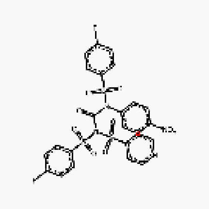 O=C(N(c1ccc([N+](=O)[O-])cc1)S(=O)(=O)c1ccc(F)cc1)N(S(=O)(=O)c1ccncc1)S(=O)(=O)c1ccc(F)cc1